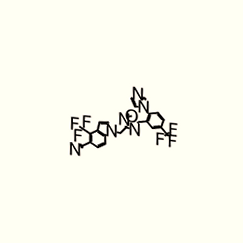 N#Cc1ccc2c(ccn2Cc2noc(-c3cc(C(F)(F)F)ccc3-n3ccnc3)n2)c1C(F)(F)F